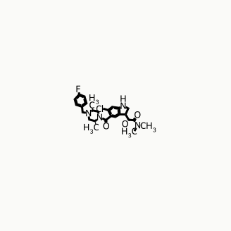 C[C@@H]1CN(Cc2ccc(F)cc2)[C@@H](C)CN1C(=O)c1cc2c(cc1Cl)NCC2C(=O)C(=O)N(C)C